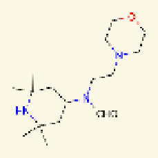 CC1(C)CC(N(C=O)CCN2CCOCC2)CC(C)(C)N1